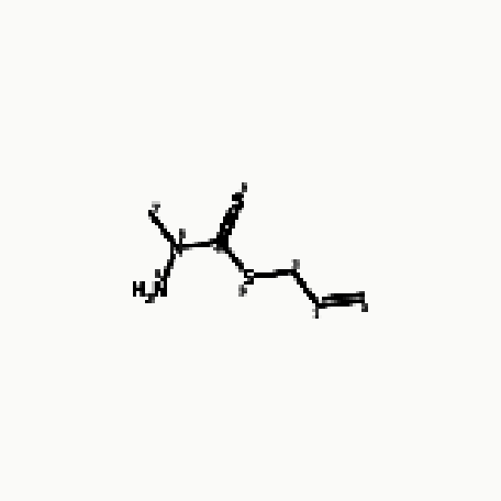 C=CCSC(=S)N(C)N